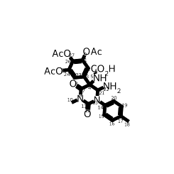 CC(=O)Oc1cc(C2(NC(=O)O)C(=O)N(C)C(=O)N(c3ccc(C)cc3)C2N)cc(OC(C)=O)c1OC(C)=O